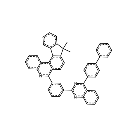 CC1(C)c2ccccc2-c2c1ccc1c(-c3cccc(-c4nc(-c5ccc(-c6ccccc6)cc5)c5ccccc5n4)c3)nc3ccccc3c21